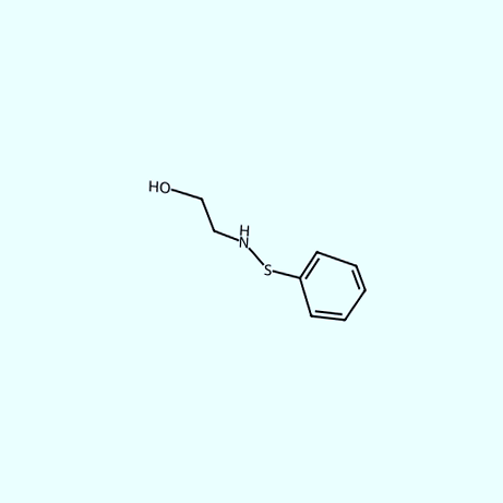 OCCNSc1ccccc1